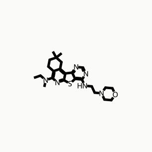 CCN(C)c1nc2sc3c(NCCN4CCOCC4)ncnc3c2c2c1CCC(C)(C)C2